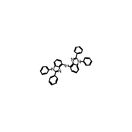 c1ccc(-c2nc3[c]([Ir+][c]4cccc5c4nc(-c4ccccc4)n5-c4ccccc4)cccc3n2-c2ccccc2)cc1